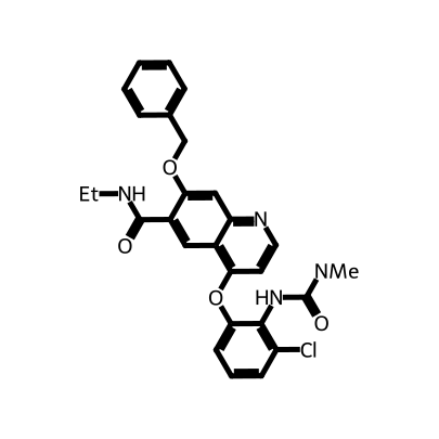 CCNC(=O)c1cc2c(Oc3cccc(Cl)c3NC(=O)NC)ccnc2cc1OCc1ccccc1